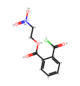 O=C(Cl)c1ccccc1C(=O)OCC[N+](=O)[O-]